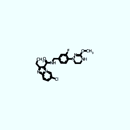 CCc1nc2ccc(Cl)cn2c1C(=O)NCc1ccc(N2CCNC(OC)=N2)c(F)c1